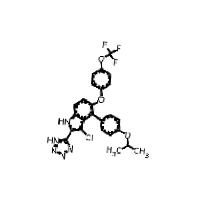 CC(C)Oc1ccc(-c2c(Oc3ccc(OC(F)(F)F)cc3)ccc3[nH]c(-c4nnn[nH]4)c(Cl)c23)cc1